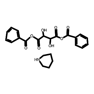 C1CCNCC1.O=C(OC(=O)C(O)C(O)C(=O)OC(=O)c1ccccc1)c1ccccc1